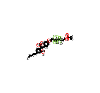 C=C(C)C(=O)OCCC(F)(F)C(F)(F)C(F)(F)C(F)(F)CCOc1ccc2cc(-c3ccc(CCCCC)cc3OC)c(=O)oc2c1